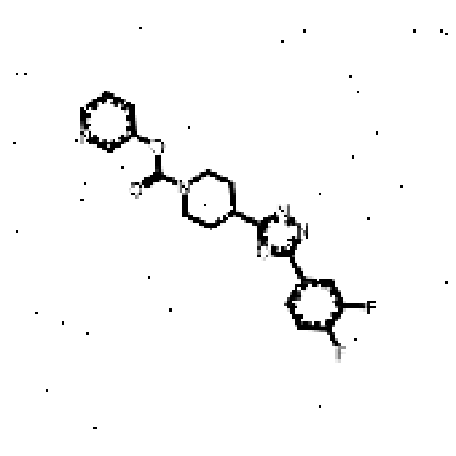 O=C(Oc1cccnc1)N1CCC(c2nnc(-c3ccc(F)c(F)c3)o2)CC1